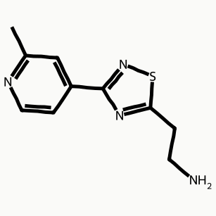 Cc1cc(-c2nsc(CCN)n2)ccn1